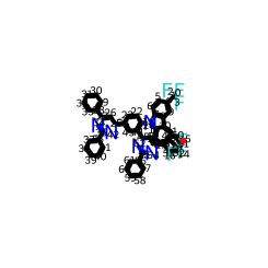 FC(F)(F)c1ccc2c(c1)c1cc(C(F)(F)F)ccc1n2-c1ccc(-c2cc(-c3ccccc3)nc(-c3ccccc3)n2)cc1-c1cc(-c2ccccc2)nc(-c2ccccc2)n1